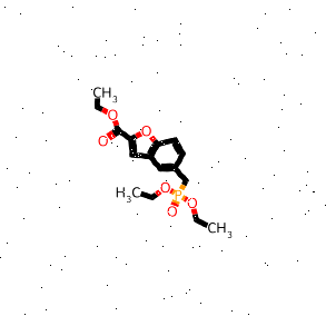 CCOC(=O)c1cc2cc(CP(=O)(OCC)OCC)ccc2o1